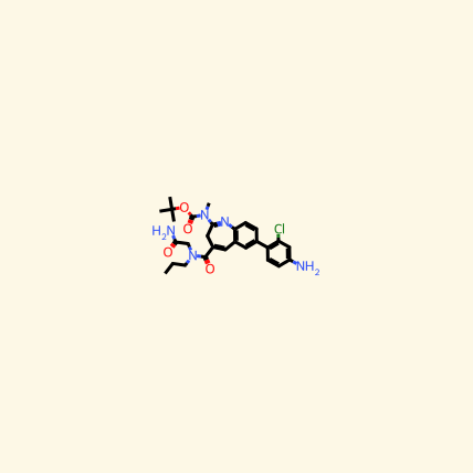 CCCN(CC(N)=O)C(=O)C1=Cc2cc(-c3ccc(N)cc3Cl)ccc2N=C(N(C)C(=O)OC(C)(C)C)C1